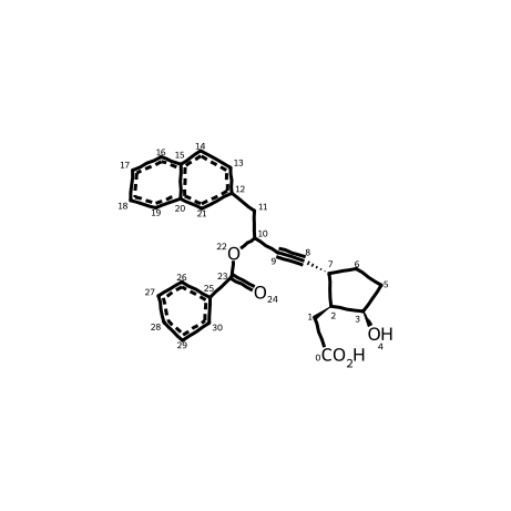 O=C(O)C[C@@H]1[C@H](O)CC[C@H]1C#CC(Cc1ccc2ccccc2c1)OC(=O)c1ccccc1